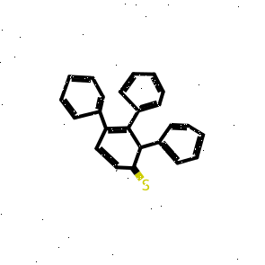 S=C1[C]=CC(c2ccccc2)=C(c2ccccc2)C1c1ccccc1